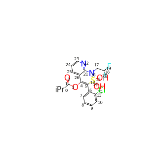 CC(C)C(=O)OC1=C(c2ccccc2Cl)S(O)(O)N(CC(F)F)c2ncccc21